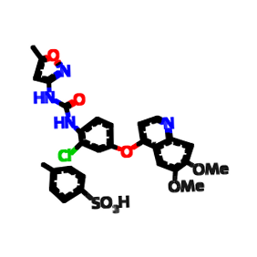 COc1cc2nccc(Oc3ccc(NC(=O)Nc4cc(C)on4)c(Cl)c3)c2cc1OC.Cc1ccc(S(=O)(=O)O)cc1